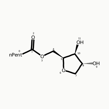 CCCCCC(=O)OC[C@@H]1OC[C@@H](O)[C@@H]1O